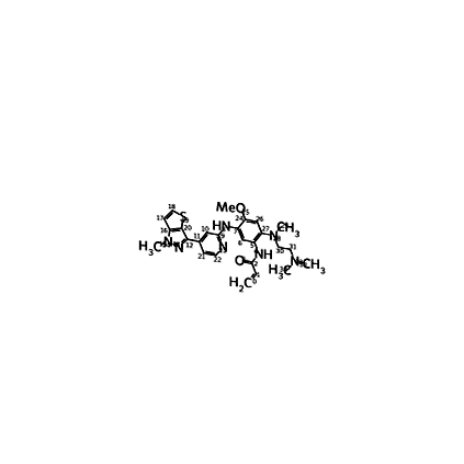 C=CC(=O)Nc1cc(Nc2cc(-c3nn(C)c4ccsc34)ccn2)c(OC)cc1N(C)CCN(C)C